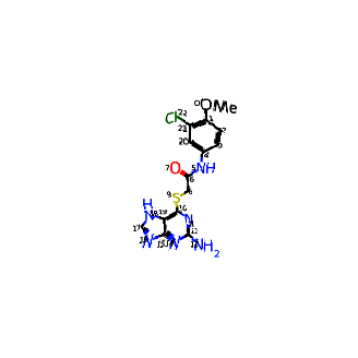 COc1ccc(NC(=O)CSc2nc(N)nc3nc[nH]c23)cc1Cl